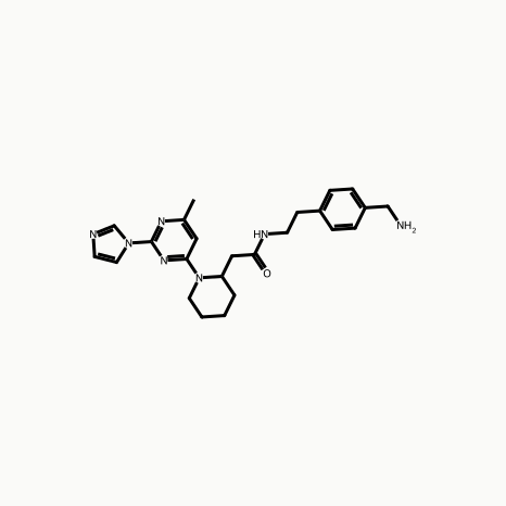 Cc1cc(N2CCCCC2CC(=O)NCCc2ccc(CN)cc2)nc(-n2ccnc2)n1